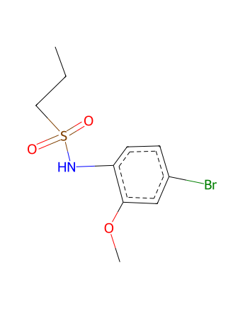 CCCS(=O)(=O)Nc1ccc(Br)cc1OC